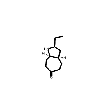 CCC1C[C@@H]2CCC(=O)CC[C@H]2N1